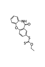 CCOC(=S)Sc1ccc2c(c1)C(=O)Nc1ccccc1O2